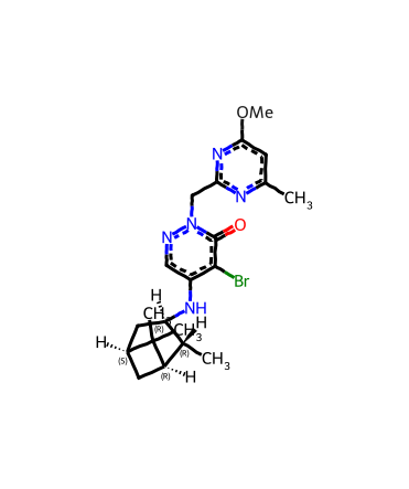 COc1cc(C)nc(Cn2ncc(N[C@@H]3C[C@@H]4C[C@H]([C@H]3C)C4(C)C)c(Br)c2=O)n1